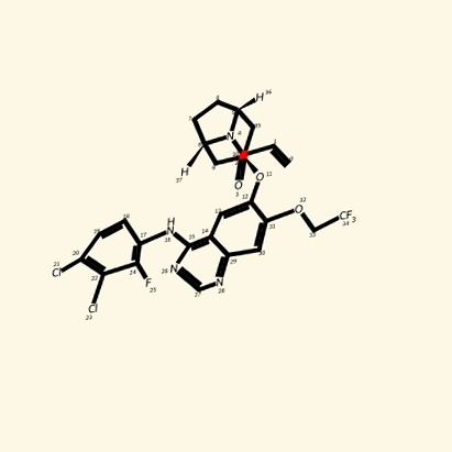 C=CC(=O)N1[C@@H]2CC[C@H]1C[C@H](Oc1cc3c(Nc4ccc(Cl)c(Cl)c4F)ncnc3cc1OCC(F)(F)F)C2